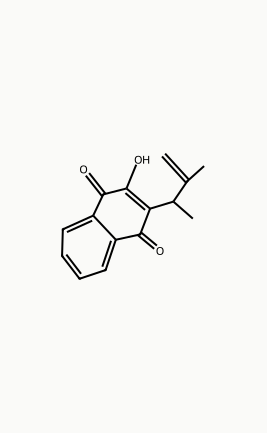 C=C(C)C(C)C1=C(O)C(=O)c2ccccc2C1=O